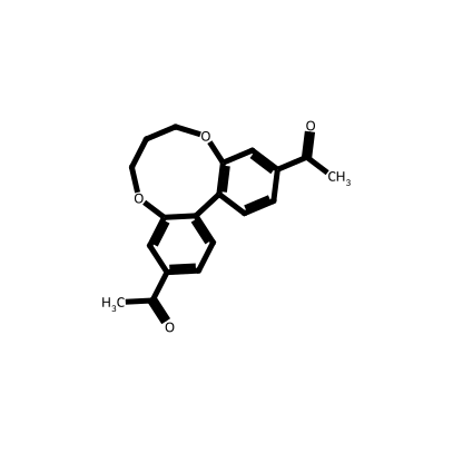 CC(=O)c1ccc2c(c1)OCCCOc1cc(C(C)=O)ccc1-2